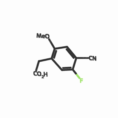 COc1cc(C#N)c(F)cc1CC(=O)O